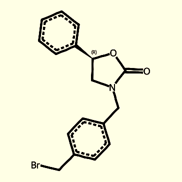 O=C1O[C@H](c2ccccc2)CN1Cc1ccc(CBr)cc1